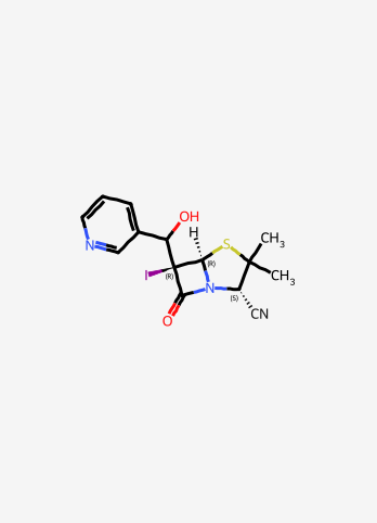 CC1(C)S[C@H]2N(C(=O)[C@]2(I)C(O)c2cccnc2)[C@H]1C#N